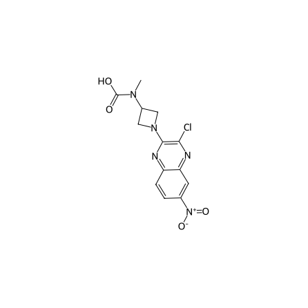 CN(C(=O)O)C1CN(c2nc3ccc([N+](=O)[O-])cc3nc2Cl)C1